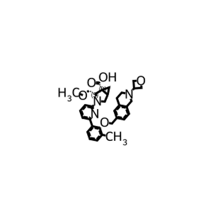 COC[C@H]1N(c2cccc(-c3cccc(C)c3OCc3ccc4c(c3)CCN(C3COC3)C4)n2)CC2C[C@@]21C(=O)O